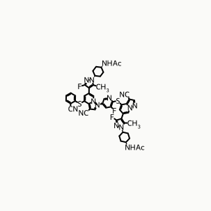 CC(=O)N[C@H]1CC[C@@H](n2nc(F)c(-c3cc(Sc4ncc(-[n+]5cc(C#N)c6c(Sc7ccccc7C#N)cc(-c7c(F)nn([C@H]8CC[C@@H](NC(C)=O)CC8)c7C)cn65)cc4F)c4c(C#N)cnn4c3)c2C)CC1